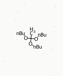 CCCCOC(C)(OCCCC)OCCCC